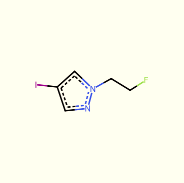 FCCn1cc(I)cn1